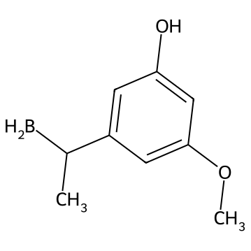 BC(C)c1cc(O)cc(OC)c1